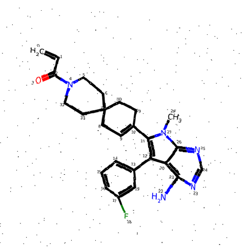 C=CC(=O)N1CCC2(CC=C(c3c(-c4cccc(F)c4)c4c(N)ncnc4n3C)CC2)CC1